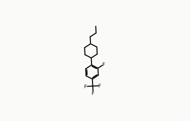 CCCC1CCC(c2ccc(C(F)(F)F)cc2F)CC1